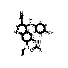 CCOc1cc2ncc(C#N)c(Nc3ccc(F)cc3)c2cc1NC(C)=O